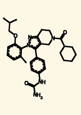 Cc1cccc(OCC(C)C)c1-n1nc2c(c1-c1ccc(NC(N)=O)cc1)CN(C(=O)C1CCCCC1)CC2